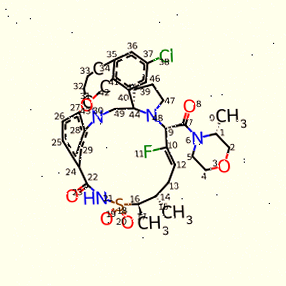 C[C@@H]1COCCN1C(=O)[C@H]1/C(F)=C/C[C@H](C)[C@@H](C)S(=O)(=O)NC(=O)c2ccc3c(c2)N2CCCCc4cc(Cl)cc(c4CO3)[C@]3(CCCN13)C2